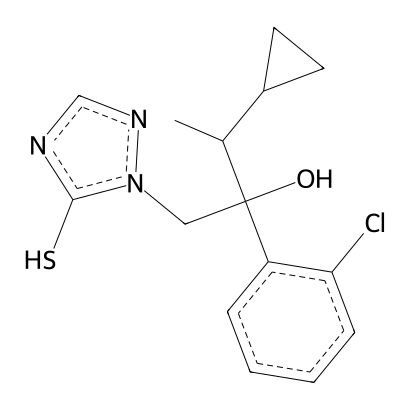 CC(C1CC1)C(O)(Cn1ncnc1S)c1ccccc1Cl